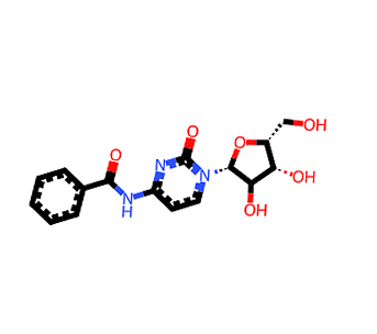 O=C(Nc1ccn([C@@H]2O[C@H](CO)[C@H](O)C2O)c(=O)n1)c1ccccc1